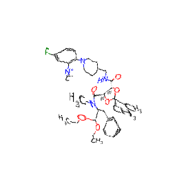 [C-]#[N+]c1cc(F)ccc1N1CCC(CNC(=O)[C@@H]2OC(C)(C)O[C@H]2C(=O)N(C)C(Cc2ccccc2)C(OCC)OCC)CC1